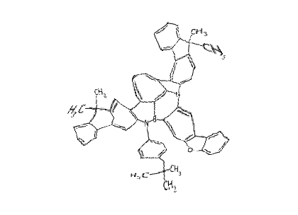 CC(C)(C)c1ccc(N2B3c4cc5oc6ccccc6c5cc4-n4c5ccc6c(c5c5ccc(c3c54)-c3cc4c(cc32)-c2ccccc2C4(C)C)-c2ccccc2C6(C)C)cc1